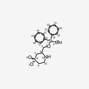 CC(C)(C)[Si](OCC1CS(=O)(=O)CCN1)(c1ccccc1)c1ccccc1